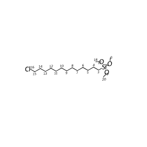 CO[Si](CCCCCCCCCCCCCCl)(OC)OC